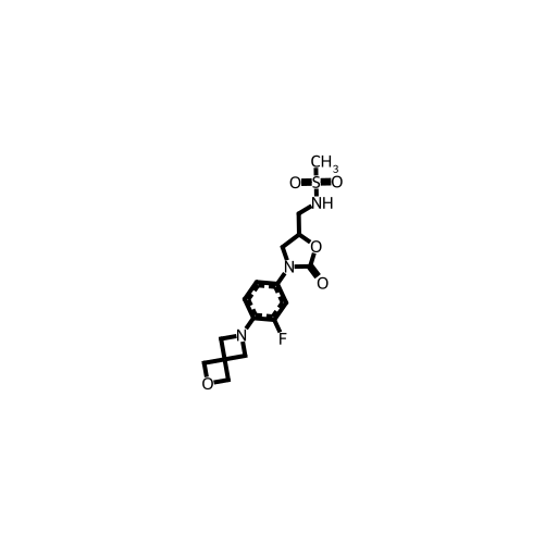 CS(=O)(=O)NCC1CN(c2ccc(N3CC4(COC4)C3)c(F)c2)C(=O)O1